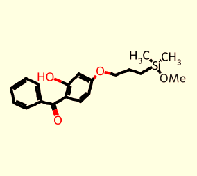 CO[Si](C)(C)CCCOc1ccc(C(=O)c2ccccc2)c(O)c1